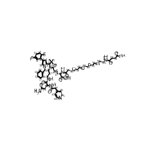 CC(C)(C)[C@H](c1cc(-c2cc(F)ccc2F)cn1Cc1ccccc1)N(CCCNC(=O)[C@H](CC(N)=O)NC(=O)Cc1ccncc1)C(=O)CSC[C@H](NC(=O)CCOCCOCCOCCOCCNC(=O)CCC(=O)O)C(=O)O